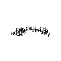 CC(C)=CCC/C(C)=C\CC/C(C)=C/CC/C=C(\C)CC/C=C(\C)CCC(=O)OCC(=O)NCc1cc(O)c(O)cc1C